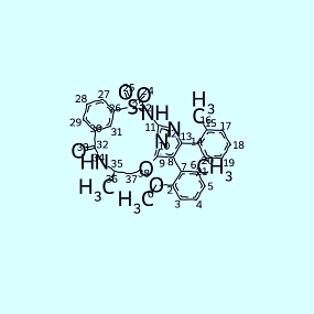 COc1ccccc1-c1c2nc(nc1-c1c(C)cccc1C)NS(=O)(=O)c1cccc(c1)C(=O)N[C@H](C)CO2